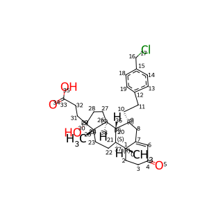 C[C@]12CCC(=O)C=C1C[C@@H](CCc1ccc(CCl)cc1)[C@@H]1[C@@H]2CC[C@@]2(C)[C@H]1CC[C@]2(O)CCC(=O)O